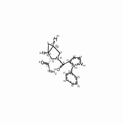 NC(=O)[C@@H]1[C@@H]2C[C@@H]2CN1C(=O)c1ccnn1-c1ccccc1